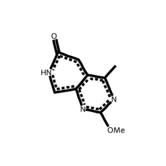 COc1nc(C)c2cc(=O)[nH]cc2n1